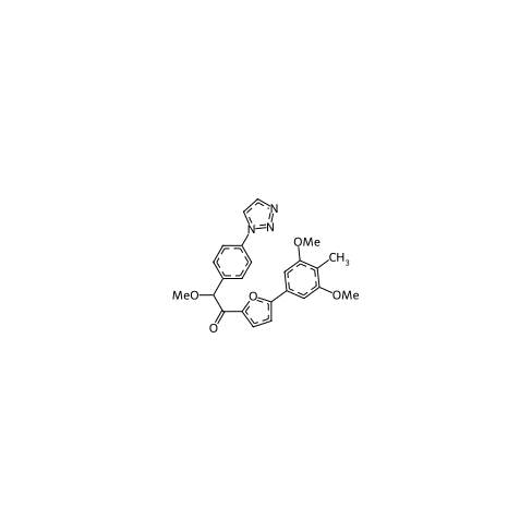 COc1cc(-c2ccc(C(=O)C(OC)c3ccc(-n4ccnn4)cc3)o2)cc(OC)c1C